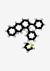 c1ccc(-c2ccc3cc4ccccc4cc3c2-c2ccccc2)cc1.c1ccsc1